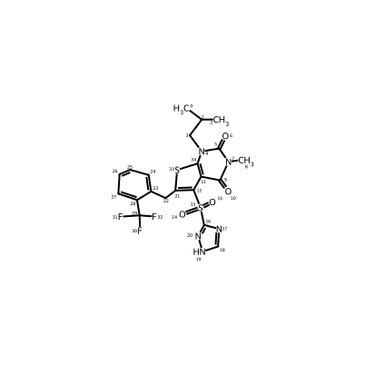 CC(C)Cn1c(=O)n(C)c(=O)c2c(S(=O)(=O)c3nc[nH]n3)c(Cc3ccccc3C(F)(F)F)sc21